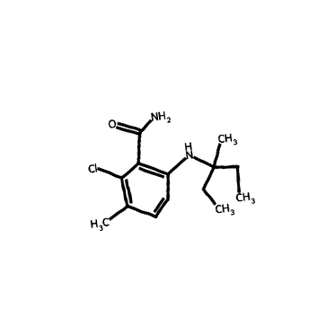 CCC(C)(CC)Nc1ccc(C)c(Cl)c1C(N)=O